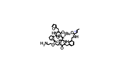 C/C=C/C(=O)NCc1cccc(C[C@H](NC(=O)[C@@H](CC(C)(C)C)NC(=O)[C@H](Cc2ccco2)NC(=O)[C@H]2CCCN2C(C)=O)C(=O)NCCOCCN)c1